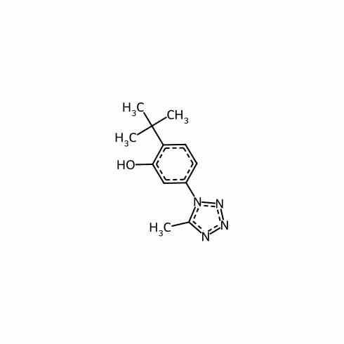 Cc1nnnn1-c1ccc(C(C)(C)C)c(O)c1